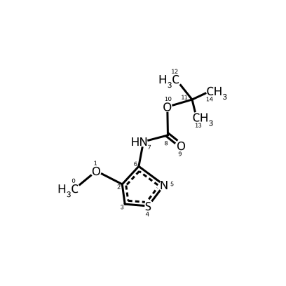 COc1csnc1NC(=O)OC(C)(C)C